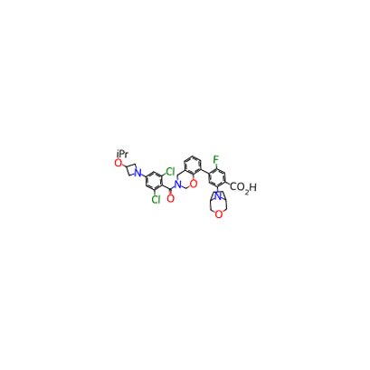 CC(C)OC1CN(c2cc(Cl)c(C(=O)N3COc4c(cccc4-c4cc(N5C6CCC5COC6)c(C(=O)O)cc4F)C3)c(Cl)c2)C1